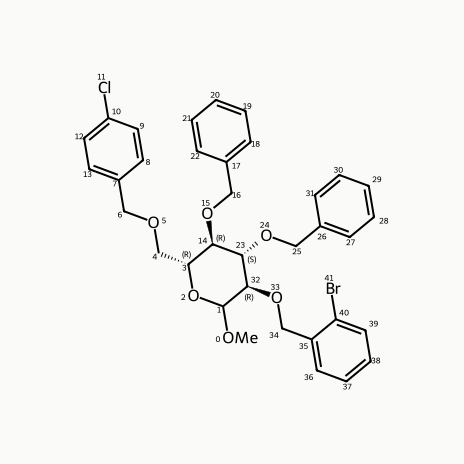 COC1O[C@H](COCc2ccc(Cl)cc2)[C@@H](OCc2ccccc2)[C@H](OCc2ccccc2)[C@H]1OCc1ccccc1Br